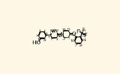 Oc1cccc(-c2ccc(N3CCC(Oc4ccccc4C(F)(F)F)CC3)nn2)c1